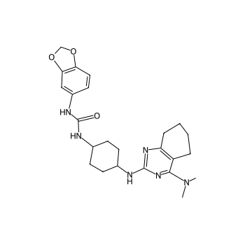 CN(C)c1nc(NC2CCC(NC(=O)Nc3ccc4c(c3)OCO4)CC2)nc2c1CCCC2